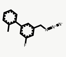 Cc1ccccc1-c1cc(F)cc(CN=[N+]=[N-])c1